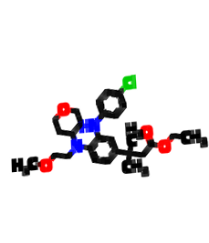 CCOC(=O)CC(C)(C)c1ccc(N(CCOC)C2CCOCC2)c(Nc2ccc(Cl)cc2)c1